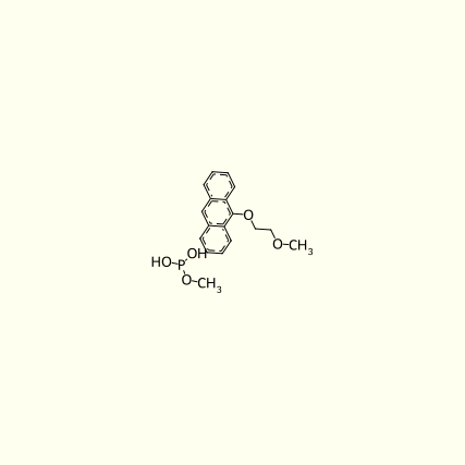 COCCOc1c2ccccc2cc2ccccc12.COP(O)O